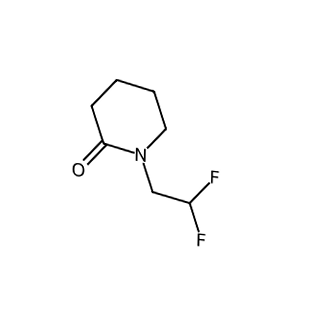 O=C1CCCCN1CC(F)F